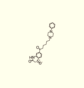 O=C1C[S+]([O-])c2ccc(C(=O)CCCCCN3CCN(c4ccccc4)CC3)cc2N1